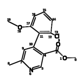 COC(=O)c1cnc(C)cc1-c1c(Cl)cccc1OC